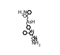 Nc1nnc(-c2cnc(-c3ccc(C[AsH]CCC(=O)c4ccccc4N)cc3)c(-c3ccccc3)c2)s1